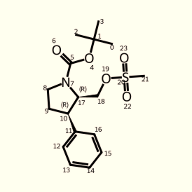 CC(C)(C)OC(=O)N1CC[C@H](c2ccccc2)[C@@H]1COS(C)(=O)=O